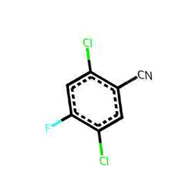 N#Cc1cc(Cl)c(F)cc1Cl